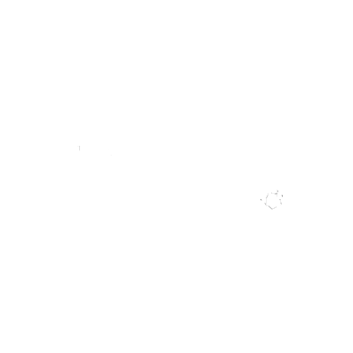 CC(C)CCOCCCCCCCCCCCCCCCn1ccnc1